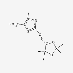 CCOC(=O)c1sc(OC[C@@H]2OC(C)(C)OC2(C)C)nc1C